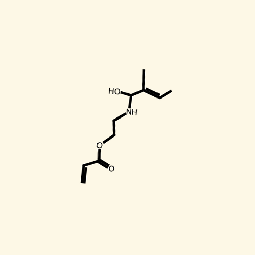 C=CC(=O)OCCNC(O)C(C)=CC